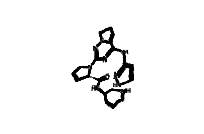 O=C(NC1CCCNC1)[C@@H]1CCCN1C1=NN2CCC=C2C(Nc2cc[nH]n2)=N1